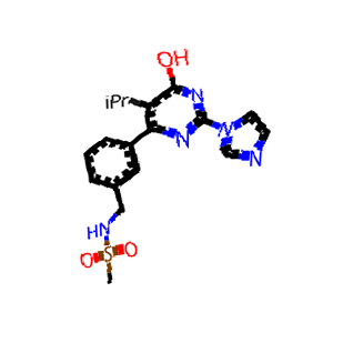 CC(C)c1c(O)nc(-n2ccnc2)nc1-c1cccc(CNS(C)(=O)=O)c1